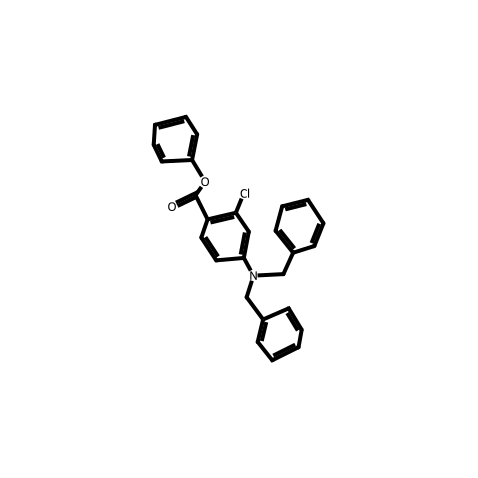 O=C(Oc1ccccc1)c1ccc(N(Cc2ccccc2)Cc2ccccc2)cc1Cl